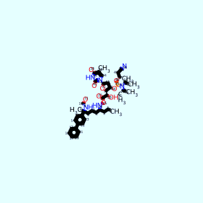 CCCC(CCCC(C)(NC=O)c1ccc(-c2ccccc2)cc1)NOC(=O)C(O)[C@H]1O[C@@H](n2cc(C)c(=O)[nH]c2=O)C[C@@H]1OP(OCCC#N)N(C(C)C)C(C)C